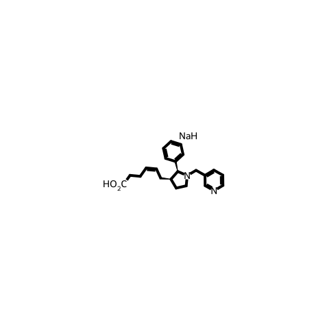 O=C(O)CC/C=C\C[C@@H]1CCN(Cc2cccnc2)[C@@H]1c1ccccc1.[NaH]